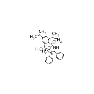 CC(C)c1cc(C(C)C)c(S(=O)(=O)NC(c2ccccc2)[C@H](N)c2ccccc2)c(C(C)C)c1